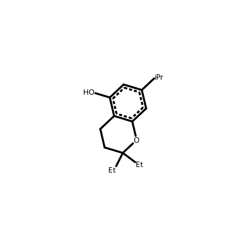 CCC1(CC)CCc2c(O)cc(C(C)C)cc2O1